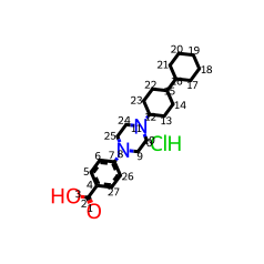 Cl.O=C(O)c1ccc(N2CCN(C3CCC(C4CCCCC4)CC3)CC2)cc1